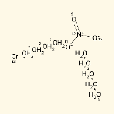 O.O.O.O.O.O.O.O.O.O=[N+]([O-])[O-].[Cr]